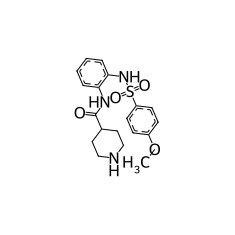 COc1ccc(S(=O)(=O)Nc2ccccc2NC(=O)C2CCNCC2)cc1